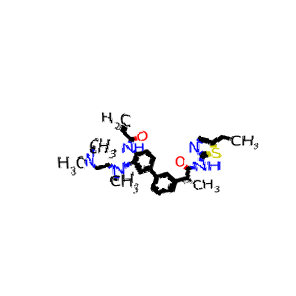 C=CC(=O)Nc1ccc(-c2cccc([C@H](C)C(=O)Nc3ncc(CC)s3)c2)cc1N(C)CCN(C)C